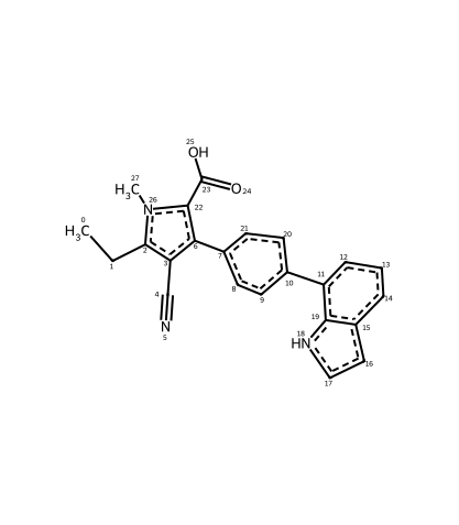 CCc1c(C#N)c(-c2ccc(-c3cccc4cc[nH]c34)cc2)c(C(=O)O)n1C